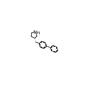 c1ccc(-c2ccc(C[C@@H]3CCNC3)cc2)cc1